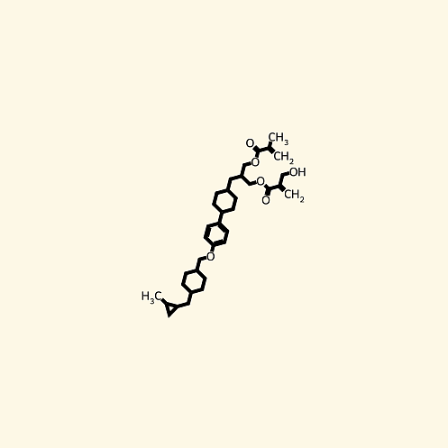 C=C(C)C(=O)OCC(COC(=O)C(=C)CO)CC1CCC(c2ccc(OCC3CCC(CC4CC4C)CC3)cc2)CC1